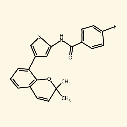 CC1(C)C=Cc2cccc(-c3csc(NC(=O)c4ccc(F)cc4)c3)c2O1